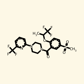 CC(Oc1ccc(S(C)(=O)=O)cc1C(=O)N1CCN(c2cccc(C(F)(F)F)n2)CC1)C(F)(F)F